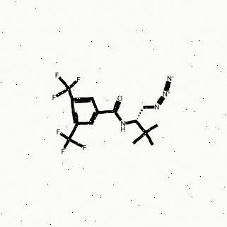 CC(C)(C)[C@@H](CN=[N+]=[N-])NC(=O)c1cc(C(F)(F)F)cc(C(F)(F)F)c1